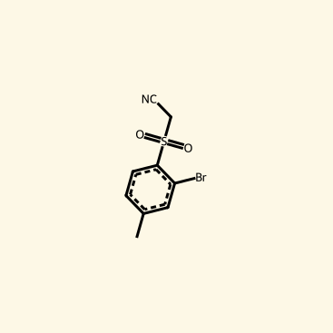 Cc1ccc(S(=O)(=O)CC#N)c(Br)c1